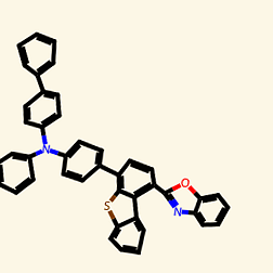 c1ccc(-c2ccc(N(c3ccccc3)c3ccc(-c4ccc(-c5nc6ccccc6o5)c5c4sc4ccccc45)cc3)cc2)cc1